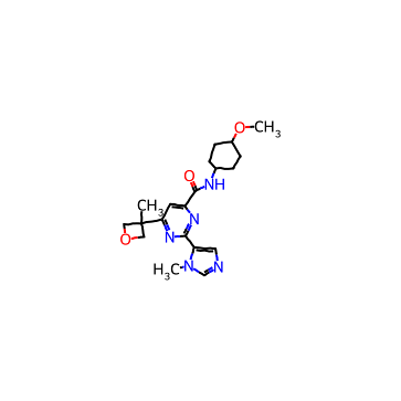 COC1CCC(NC(=O)c2cc(C3(C)COC3)nc(-c3cncn3C)n2)CC1